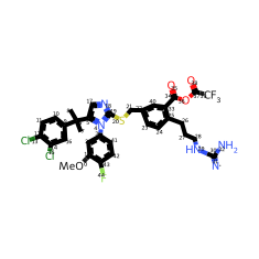 COc1cc(-n2c(C(C)(C)c3ccc(Cl)c(Cl)c3)cnc2SCc2ccc(CCCNC(=[N])N)c(C(=O)OC(=O)C(F)(F)F)c2)ccc1F